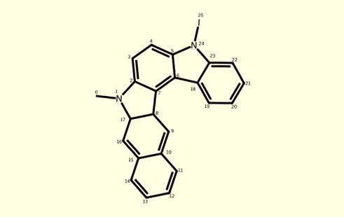 CN1c2ccc3c(c2C2C=c4ccccc4=CC21)c1ccccc1n3I